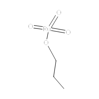 CCC[O][Ru](=[O])(=[O])=[O]